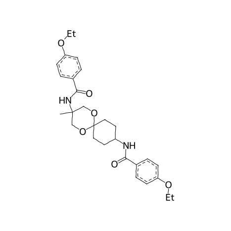 CCOc1ccc(C(=O)NC2CCC3(CC2)OCC(C)(NC(=O)c2ccc(OCC)cc2)CO3)cc1